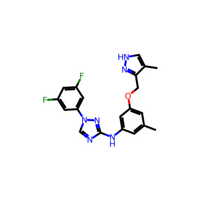 Cc1cc(Nc2ncn(-c3cc(F)cc(F)c3)n2)cc(OCc2n[nH]cc2C)c1